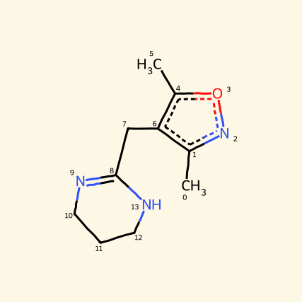 Cc1noc(C)c1CC1=NCCCN1